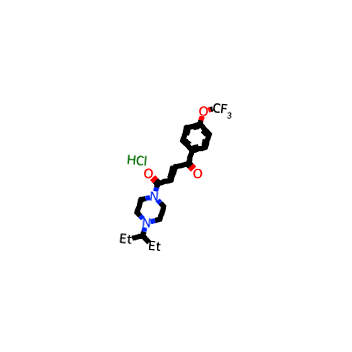 CCC(CC)N1CCN(C(=O)C=CC(=O)c2ccc(OC(F)(F)F)cc2)CC1.Cl